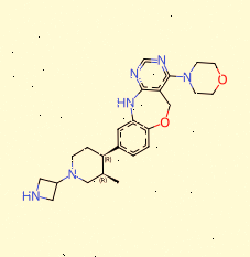 C[C@H]1CN(C2CNC2)CC[C@H]1c1ccc2c(c1)Nc1ncnc(N3CCOCC3)c1CO2